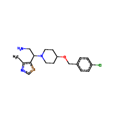 Cc1ncsc1C(CN)N1CCC(OCc2ccc(Cl)cc2)CC1